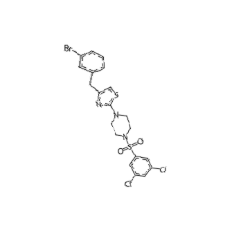 O=S(=O)(c1cc(Cl)cc(Cl)c1)N1CCN(c2nc(Cc3cccc(Br)c3)cs2)CC1